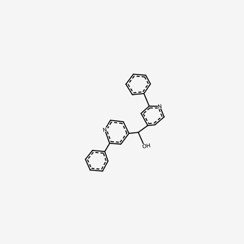 OC(c1ccnc(-c2ccccc2)c1)c1ccnc(-c2ccccc2)c1